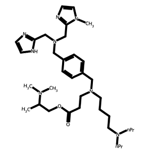 CCCN(CCC)CCCCN(CCC(=O)OCC(C)N(C)C)Cc1ccc(CN(Cc2ncc[nH]2)Cc2nccn2C)cc1